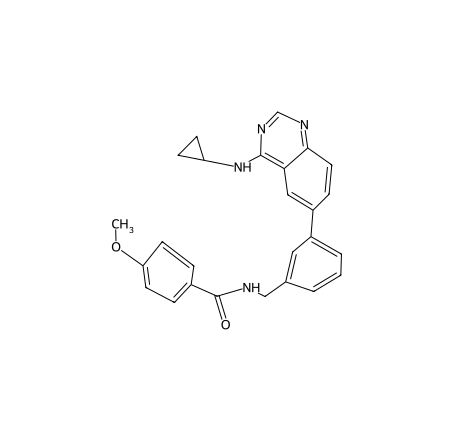 COc1ccc(C(=O)NCc2cccc(-c3ccc4ncnc(NC5CC5)c4c3)c2)cc1